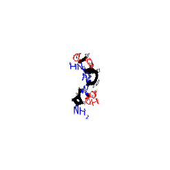 NC1CC(CN(C(=O)O)c2ccc3c(n2)NC(=O)CO3)C1